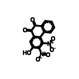 O=C1C(=O)c2cc(O)c([N+](=O)[O-])c([N+](=O)[O-])c2-c2ccccc21